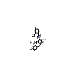 Cc1ccc(/N=N/c2cnn(Cc3cc[n+](C)cc3)c2N)c(Cl)c1.[Cl-]